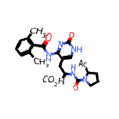 CC(=O)C1CCCN1C(=O)NC(Cc1c[nH]c(=O)nc1NC(=O)c1c(C)cccc1C)C(=O)O